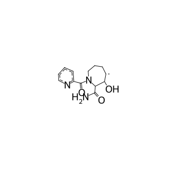 NC(=O)C1C(O)[CH]CCCN1C(=O)c1ccccn1